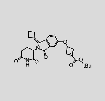 CC(C)(C)OC(=O)N1CC(Oc2ccc3c(c2)C(=O)N(C2CCC(=O)NC2=O)C3=C2CCC2)C1